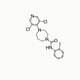 O=C(Nc1ccccc1I)N1CCCN(c2c(Cl)cncc2Cl)CC1